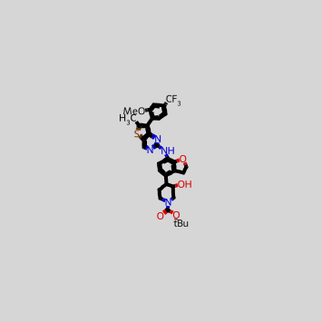 COc1cc(C(F)(F)F)ccc1-c1c(C)sc2cnc(Nc3ccc(C4CCN(C(=O)OC(C)(C)C)CC4O)c4c3OCC4)nc12